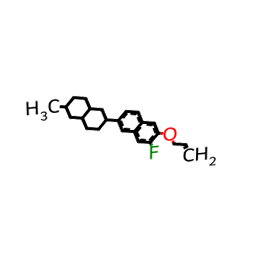 C=CCOc1cc2ccc(C3CCC4CC(C)CCC4C3)cc2cc1F